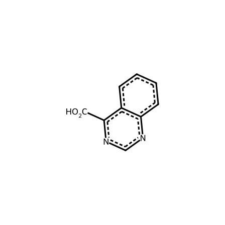 O=C(O)c1ncnc2ccccc12